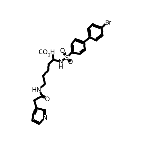 O=C(Cc1cccnc1)NCCCCC(NS(=O)(=O)c1ccc(-c2ccc(Br)cc2)cc1)C(=O)O